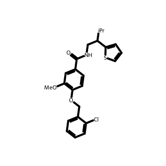 COc1cc(C(=O)NCC(c2cccs2)C(C)C)ccc1OCc1ccccc1Cl